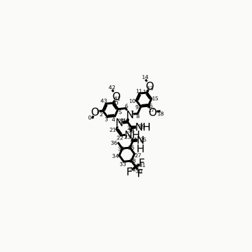 COc1ccc(CN(Cc2ccc(OC)cc2OC)/C(=N/C=C\NC(=N)C2CC(C(F)(F)F)CCC2C)C(C)=N)c(OC)c1